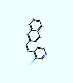 Fc1cnccc1/C=C\c1ccc2ccccc2c1